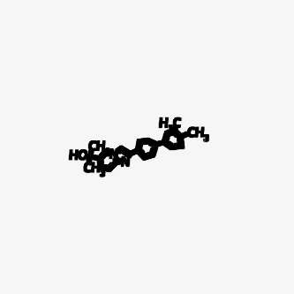 Cc1ccc(-c2ccc(-c3cn4cc(C(C)(C)O)ccc4n3)cc2)cc1C